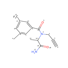 C#CCN(C(=O)c1cc(C)cc(C(F)(F)F)c1)C(C)C(N)=O